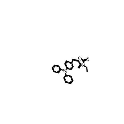 C=c1/c(=C\c2ccc(N(c3ccccc3)c3ccccc3)cc2)oc(=S)n1CC